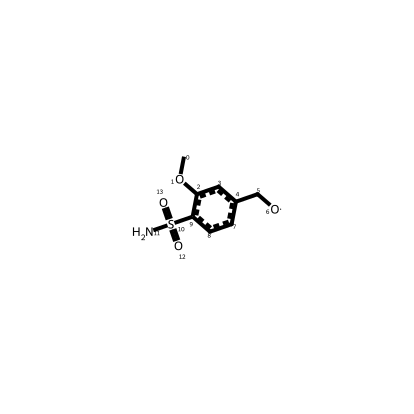 COc1cc(C[O])ccc1S(N)(=O)=O